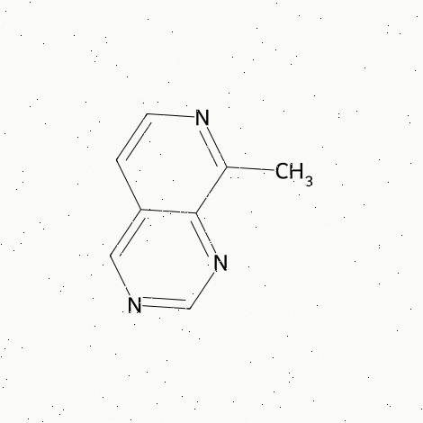 Cc1nccc2cncnc12